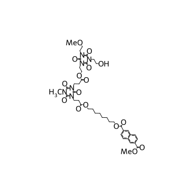 COCCn1c(=O)n(CCO)c(=O)n(CCOC(=O)CCn2c(=O)n(C)c(=O)n(CCC(=O)OCCCCCCCCOC(=O)c3ccc4cc(C(=O)OC)ccc4c3)c2=O)c1=O